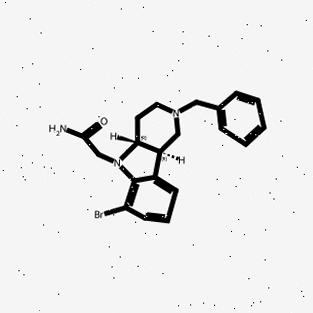 NC(=O)CN1c2c(Br)cccc2[C@@H]2CN(Cc3ccccc3)CC[C@H]21